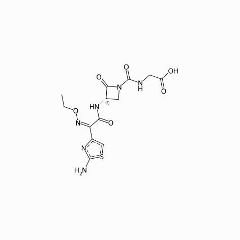 CCON=C(C(=O)N[C@H]1CN(C(=O)NCC(=O)O)C1=O)c1csc(N)n1